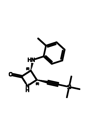 Cc1ccccc1N[C@H]1C(=O)N[C@@H]1C#C[Si](C)(C)C